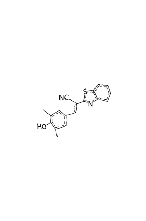 Cc1cc(C=C(C#N)c2nc3ccccc3s2)cc(C)c1O